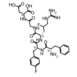 N=C(N)NCC(F)C[C@H](NC(=O)[C@H](Cc1ccc(F)cc1)NC(=O)[C@@H](N)Cc1ccccc1)C(=O)NCC(=O)N[C@@H](CC(=O)O)C(=O)O